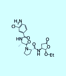 CCO[C@@H]1OC(=O)C[C@@H]1NC(=O)[C@@H]1CCCN1C(=O)[C@H](C)NC(=O)c1ccc(N)c(Cl)c1